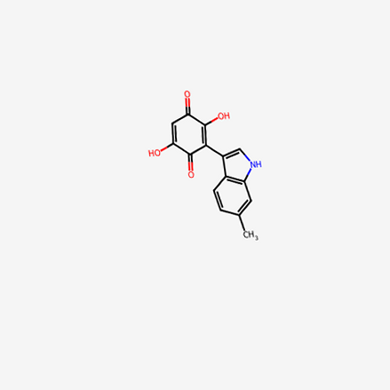 Cc1ccc2c(C3=C(O)C(=O)C=C(O)C3=O)c[nH]c2c1